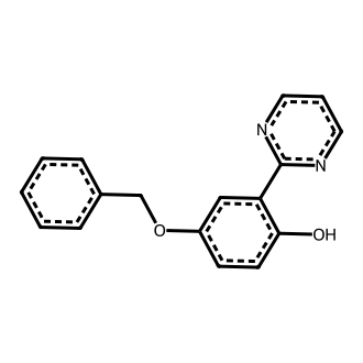 Oc1ccc(OCc2ccccc2)cc1-c1ncccn1